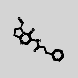 O=C[C@@H]1CCc2ncc(NC(=O)CCc3ccccc3)c(=O)n21